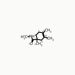 CNC(=O)[C@]1(C)CCC(C)=C(C)C1